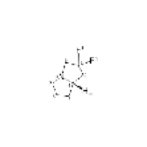 FC1(F)C[C@@H]2CCCN2C1